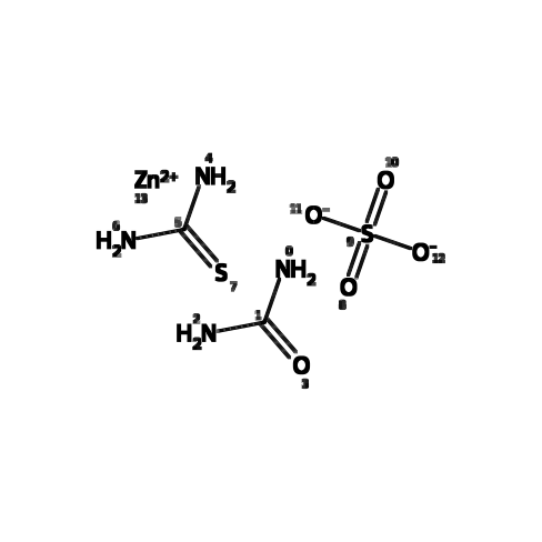 NC(N)=O.NC(N)=S.O=S(=O)([O-])[O-].[Zn+2]